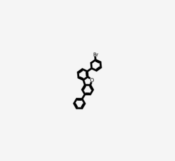 BrC1=CC=CC(c2cccc3c2oc2ccc(-c4ccccc4)cc23)C1